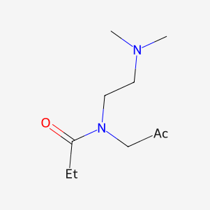 CCC(=O)N(CCN(C)C)CC(C)=O